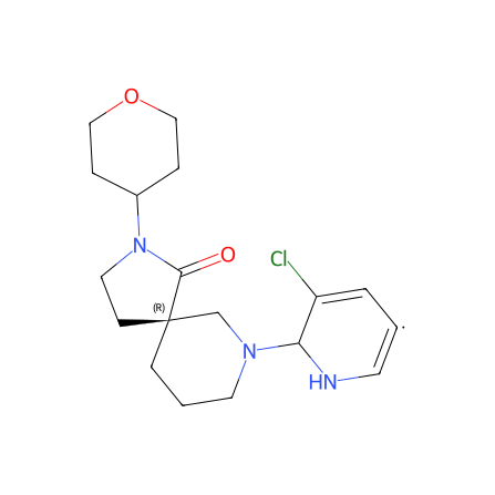 O=C1N(C2CCOCC2)CC[C@@]12CCCN(C1NC=[C]C=C1Cl)C2